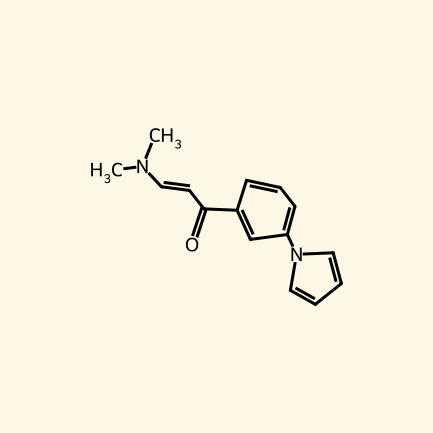 CN(C)C=CC(=O)c1cccc(-n2cccc2)c1